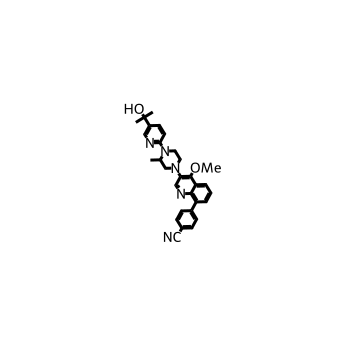 COc1c(N2CCN(c3ccc(C(C)(C)O)cn3)C(C)C2)cnc2c(-c3ccc(C#N)cc3)cccc12